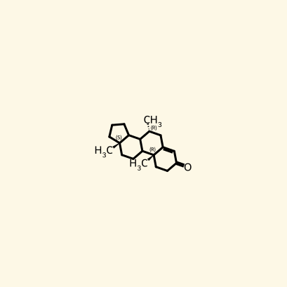 C[C@@H]1CC2=CC(=O)CC[C@]2(C)C2CC[C@]3(C)CCCC3C21